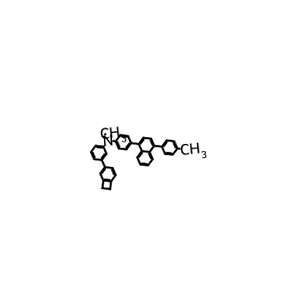 Cc1ccc(-c2ccc(-c3ccc(N(C)c4cccc(-c5ccc6c(c5)CC6)c4)cc3)c3ccccc23)cc1